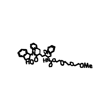 COCCOCCOCCOC(=O)NC(Cc1ccccc1)C(O)CC(Cc1ccccc1)C(=O)NC1c2ccccc2CC1O